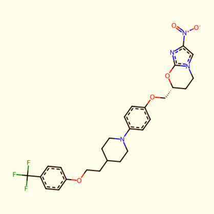 O=[N+]([O-])c1cn2c(n1)O[C@@H](COc1ccc(N3CCC(CCOc4ccc(C(F)(F)F)cc4)CC3)cc1)CC2